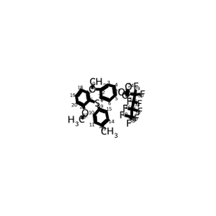 COc1ccccc1[S+](c1ccc(C)cc1)c1ccccc1OC.O=S(=O)([O-])C(F)(F)C(F)(F)C(F)(F)C(F)(F)F